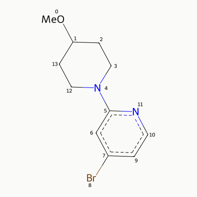 COC1CCN(c2cc(Br)ccn2)CC1